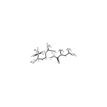 CC(C)C[C@H](N)C(=O)OC[C@H](CN(C)S(C)(=O)=O)OC(C)C